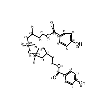 CC(CCOC(=O)c1ccc(O)cc1)C[Si](C)(C)O[Si](C)(C)CC(C)CCOC(=O)c1ccc(O)cc1